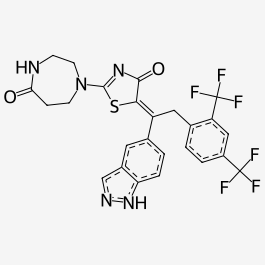 O=C1CCN(C2=NC(=O)C(=C(Cc3ccc(C(F)(F)F)cc3C(F)(F)F)c3ccc4[nH]ncc4c3)S2)CCN1